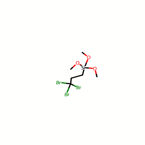 CO[Si](CCC(Br)(Br)Br)(OC)OC